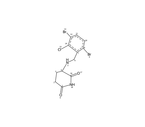 O=C1CCC(NCc2c(Br)ccc(Br)c2Cl)C(=O)N1